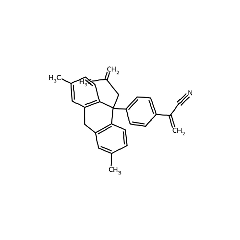 C=C(C)CC1(c2ccc(C(=C)C#N)cc2)c2ccc(C)cc2Cc2cc(C)ccc21